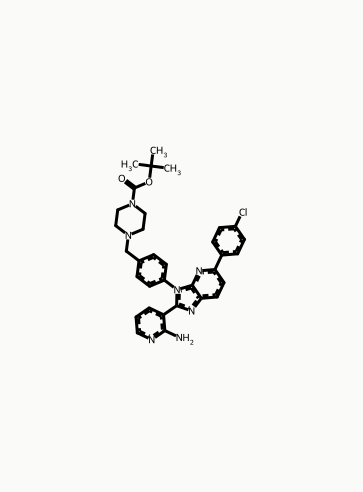 CC(C)(C)OC(=O)N1CCN(Cc2ccc(-n3c(-c4cccnc4N)nc4ccc(-c5ccc(Cl)cc5)nc43)cc2)CC1